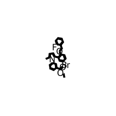 CCOC(=O)c1cccc(-n2c(C)ccc2-c2cc(Br)ccc2OCc2ccccc2F)c1